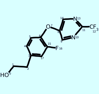 OCCc1ccc(Oc2cnc(C(F)(F)F)nc2)c(F)c1